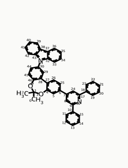 CC1(C)Oc2cc(-c3cc(-c4ccccc4)nc(-c4ccccc4)c3)ccc2-c2cc(-n3c4ccccc4c4ccccc43)ccc2O1